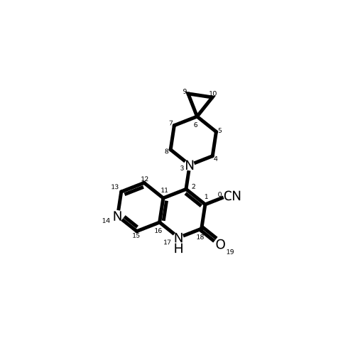 N#Cc1c(N2CCC3(CC2)CC3)c2ccncc2[nH]c1=O